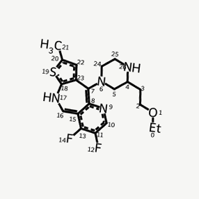 CCOCCC1CN(C2=c3ncc(F)c(F)c3=CNc3sc(C)cc32)CCN1